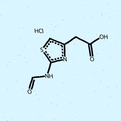 Cl.O=CNc1nc(CC(=O)O)cs1